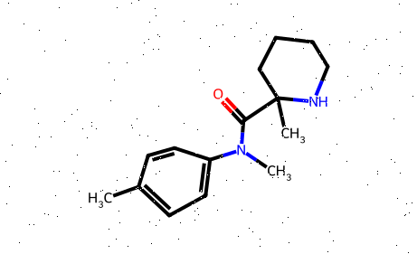 Cc1ccc(N(C)C(=O)C2(C)CCCCN2)cc1